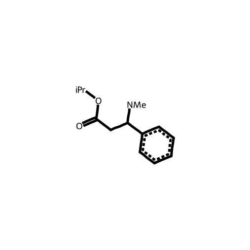 CNC(CC(=O)OC(C)C)c1ccccc1